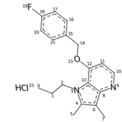 CCCn1c(C)c(C)c2nccc(OCc3ccc(F)cc3)c21.Cl